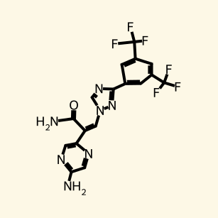 NC(=O)/C(=C\n1cnc(-c2cc(C(F)(F)F)cc(C(F)(F)F)c2)n1)c1cnc(N)cn1